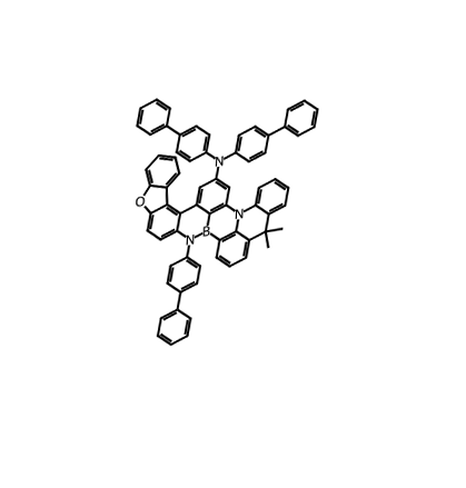 CC1(C)c2ccccc2N2c3cc(N(c4ccc(-c5ccccc5)cc4)c4ccc(-c5ccccc5)cc4)cc4c3B(c3cccc1c32)N(c1ccc(-c2ccccc2)cc1)c1ccc2oc3ccccc3c2c1-4